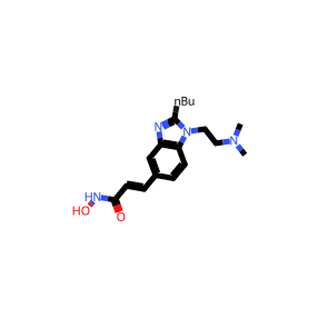 CCCCc1nc2cc(C=CC(=O)NO)ccc2n1CCN(C)C